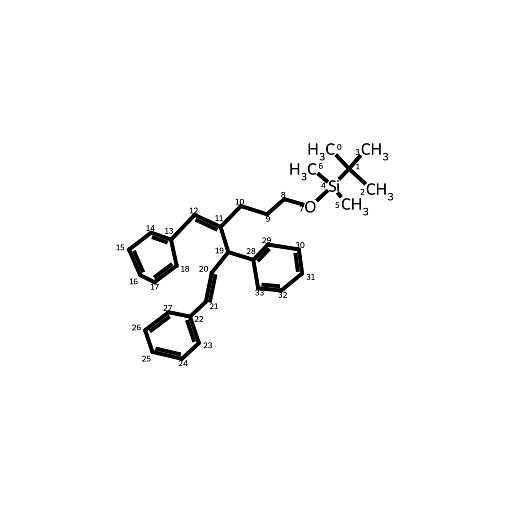 CC(C)(C)[Si](C)(C)OCCCC(=Cc1ccccc1)C(/C=C/c1ccccc1)c1ccccc1